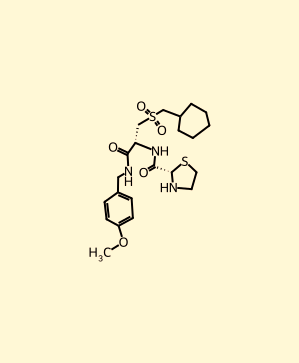 COc1ccc(CNC(=O)[C@H](CS(=O)(=O)CC2CCCCC2)NC(=O)[C@H]2NCCS2)cc1